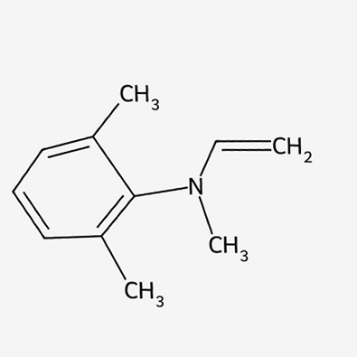 C=CN(C)c1c(C)cccc1C